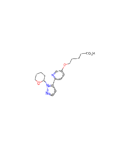 O=C(O)CCCCOc1ccc(-c2ccnn2C2CCCCO2)nc1